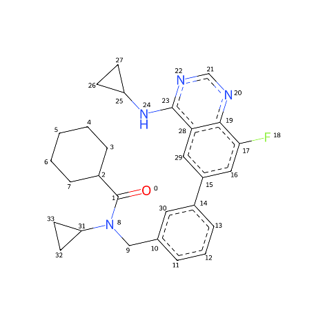 O=C(C1CCCCC1)N(Cc1cccc(-c2cc(F)c3ncnc(NC4CC4)c3c2)c1)C1CC1